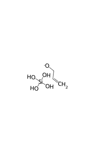 C=CC[O].O[Si](O)(O)O